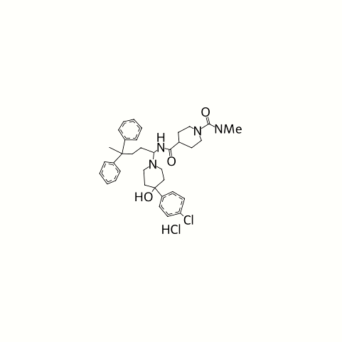 CNC(=O)N1CCC(C(=O)NC(CCC(C)(c2ccccc2)c2ccccc2)N2CCC(O)(c3ccc(Cl)cc3)CC2)CC1.Cl